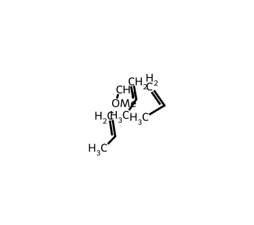 C=CC.C=CC.C=CC.COC